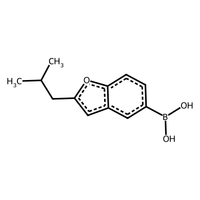 CC(C)Cc1cc2cc(B(O)O)ccc2o1